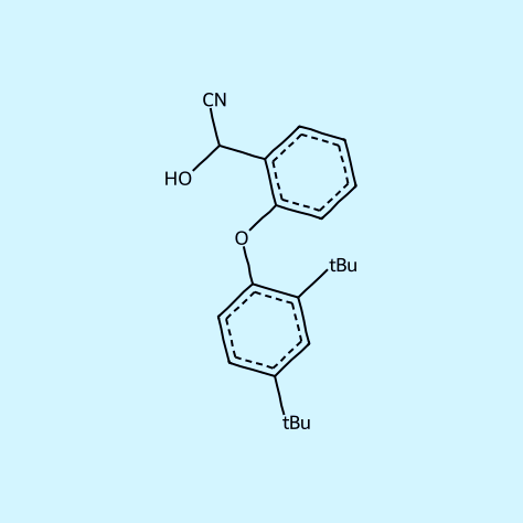 CC(C)(C)c1ccc(Oc2ccccc2C(O)C#N)c(C(C)(C)C)c1